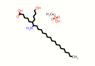 CCCCCCCCCCCCCCCCCC(N)C(CCCCO)CCCCC(=O)O.COS(=O)(=O)O